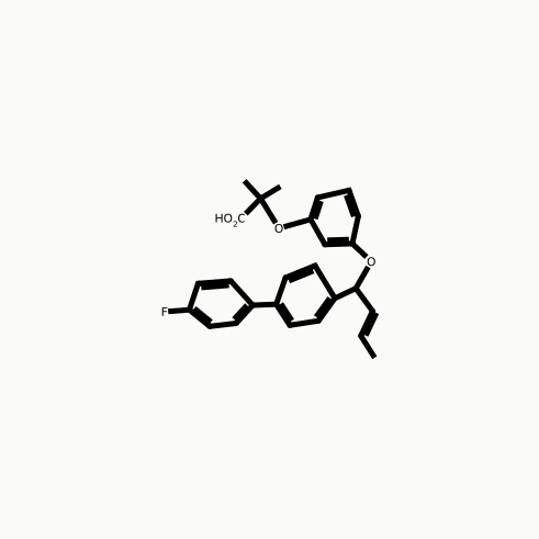 CC=CC(Oc1cccc(OC(C)(C)C(=O)O)c1)c1ccc(-c2ccc(F)cc2)cc1